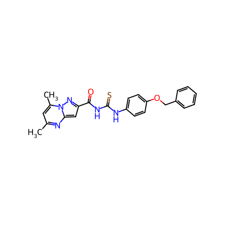 Cc1cc(C)n2nc(C(=O)NC(=S)Nc3ccc(OCc4ccccc4)cc3)cc2n1